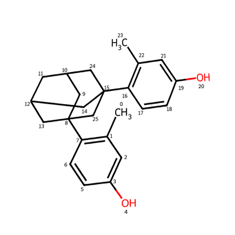 Cc1cc(O)ccc1C12CC3CC(C1)CC(c1ccc(O)cc1C)(C3)C2